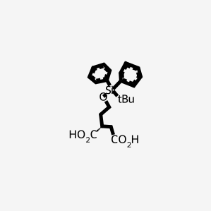 CC(C)(C)[Si](OCC[C@H](CC(=O)O)C(=O)O)(c1ccccc1)c1ccccc1